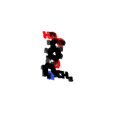 Cc1ncccc1Oc1ccc(CC(=O)O)cc1